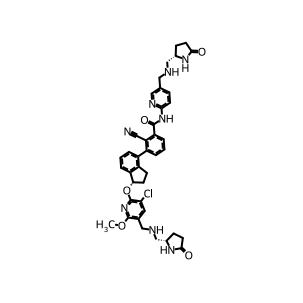 COc1nc(O[C@H]2CCc3c(-c4cccc(C(=O)Nc5ccc(CNC[C@@H]6CCC(=O)N6)cn5)c4C#N)cccc32)c(Cl)cc1CNC[C@@H]1CCC(=O)N1